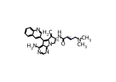 C=C1c2c(-c3cnc4ccccc4c3)c3c(N)ncnc3n2C[C@H]1NC(=O)/C=C/CN(C)C